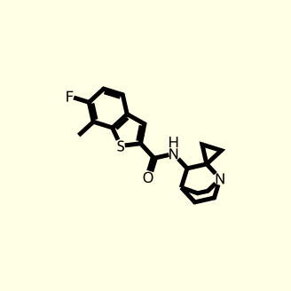 Cc1c(F)ccc2cc(C(=O)NC3C4CCN(CC4)C34CC4)sc12